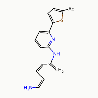 C=C(/C=C\C=C/N)Nc1cccc(-c2ccc(C(C)=O)s2)n1